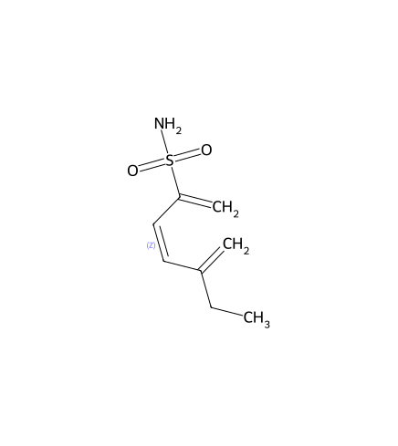 C=C(/C=C\C(=C)S(N)(=O)=O)CC